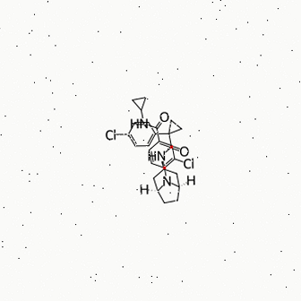 O=C(NC1CC1)c1ccc(N2[C@@H]3CC[C@H]2C[C@@H](NC(=O)C2(c4ccc(Cl)cc4)CC2)C3)c(Cl)c1